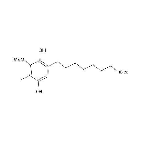 CCCCCCCCCCCCCCCCCc1cc(O)c(C)c(OC)c1O